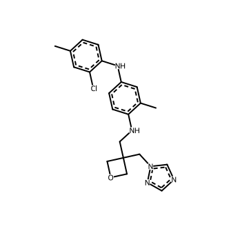 Cc1ccc(Nc2ccc(NCC3(Cn4cncn4)COC3)c(C)c2)c(Cl)c1